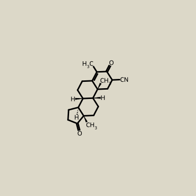 CC1=C2CC[C@@H]3[C@@H](CC[C@]4(C)C(=O)CC[C@@H]34)[C@@]2(C)CC(C#N)C1=O